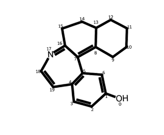 Oc1ccc2c(c1)C1=C3CCCCC3CCC1=NC=C2